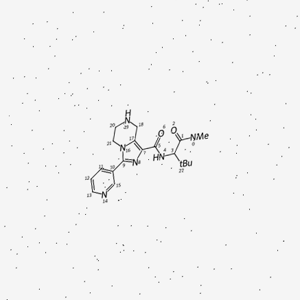 CNC(=O)C(NC(=O)c1nc(-c2cccnc2)n2c1CNCC2)C(C)(C)C